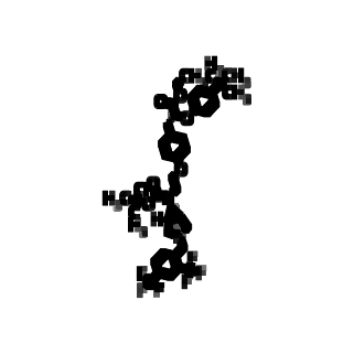 CCOC(=O)[C@@H](Cc1ccc(OCCN(C(=O)OC(C)(C)C)[C@@H]2C3CN(Cc4ccc(C(F)(F)F)cc4C(F)(F)F)C[C@H]32)cc1)Oc1ccc(C(C)(C)C)cc1